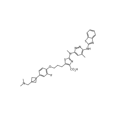 Cc1cc(N(C)c2nc(C(=O)O)c(CCCOc3ccc(C45CC(CN(C)C)(C4)C5)cc3F)s2)nnc1Nc1nc2ccccc2s1